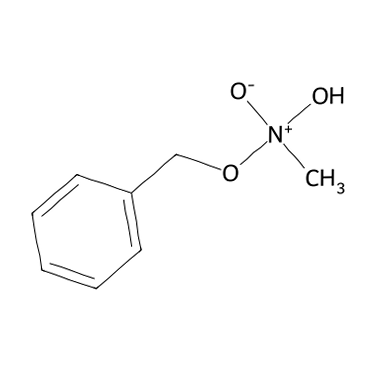 C[N+]([O-])(O)OCc1ccccc1